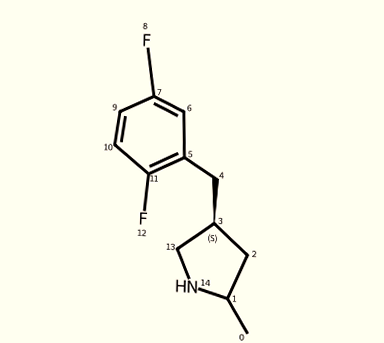 CC1C[C@H](Cc2cc(F)ccc2F)CN1